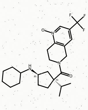 CC(C)[C@]1(C(=O)N2CCc3c(cc(C(F)(F)F)c[n+]3[O-])C2)CC[C@@H](NC2CCCCC2)C1